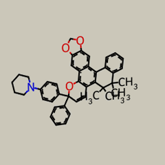 CC1(C)c2ccccc2-c2c(c3c(c4cc5c(cc24)OCO5)OC(c2ccccc2)(c2ccc(N4CCCCC4)cc2)C=C3)C1(C)C